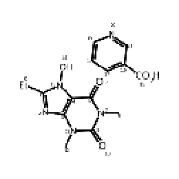 CCc1nc2c(c(=O)n(C)c(=O)n2C)n1O.O=C(O)c1cccnc1